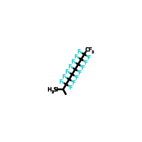 CC([SiH3])C(F)(F)C(F)(F)C(F)(F)C(F)(F)C(F)(F)C(F)(F)C(F)(F)C(F)(F)F